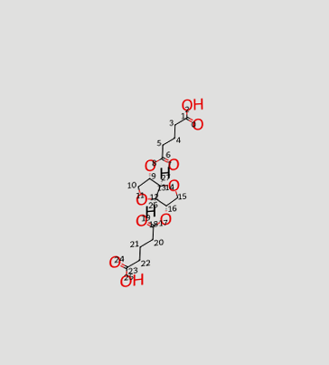 O=C(O)CCCC(=O)O[C@H]1CO[C@H]2[C@@H]1OC[C@@H]2OC(=O)CCCC(=O)O